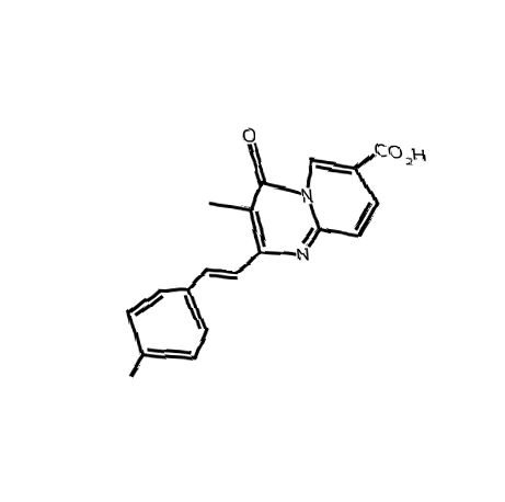 Cc1ccc(C=Cc2nc3ccc(C(=O)O)cn3c(=O)c2C)cc1